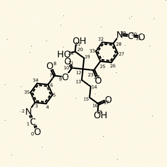 O=C=Nc1ccc(C(=O)OC(=O)C(CCCC(=O)O)(CC(O)O)C(=O)c2ccc(N=C=O)cc2)cc1